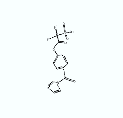 O=C(c1ccc(OC(=O)C(F)(F)S(=O)(=O)O)cc1)n1ccnc1